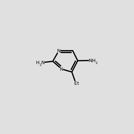 CCc1nc(N)ncc1N